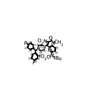 Cn1c(=O)c([N+](=O)[O-])c(N2CCN(C(c3ccc(F)cc3)c3ccc(F)cc3)CC2)c2nc(N(C(=O)O)C(C)(C)C)ccc21